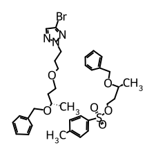 C[C@@H](CCOCCCn1ncc(Br)n1)OCc1ccccc1.Cc1ccc(S(=O)(=O)OCC[C@H](C)OCc2ccccc2)cc1